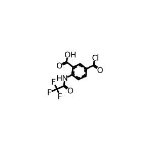 O=C(Cl)c1ccc(NC(=O)C(F)(F)F)c(C(=O)O)c1